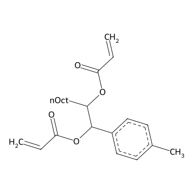 C=CC(=O)OC(CCCCCCCC)C(OC(=O)C=C)c1ccc(C)cc1